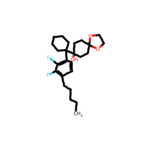 CCCCCc1ccc(C2(C3(O)CCC4(CC3)OCCO4)CCCCC2)c(F)c1F